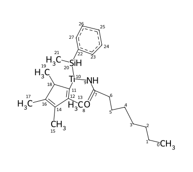 CCCCCCCC(=O)[NH][Ti]([C]1=C(C)C(C)=C(C)C1C)[SiH](C)c1ccccc1